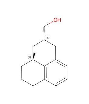 C[C@]12CCCc3cccc(c31)C[C@@H](CO)C2